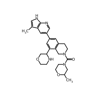 Cc1c[nH]c2ncc(-c3cc4c(c(C5COCCN5)c3)CN(C(=O)N3CCOC(C)C3)CC4)cc12